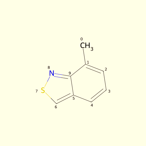 Cc1cccc2csnc12